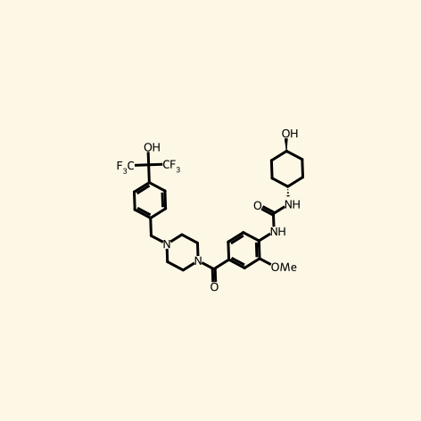 COc1cc(C(=O)N2CCN(Cc3ccc(C(O)(C(F)(F)F)C(F)(F)F)cc3)CC2)ccc1NC(=O)N[C@H]1CC[C@H](O)CC1